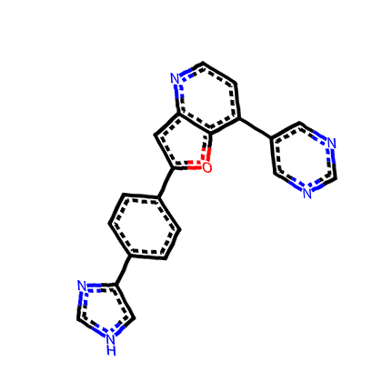 c1ncc(-c2ccnc3cc(-c4ccc(-c5c[nH]cn5)cc4)oc23)cn1